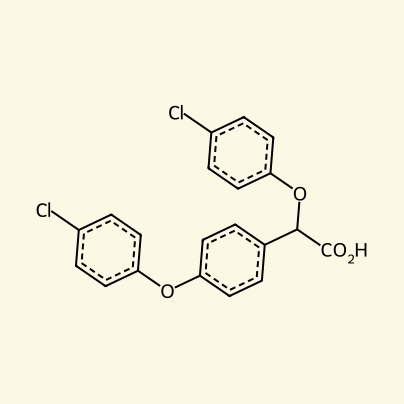 O=C(O)C(Oc1ccc(Cl)cc1)c1ccc(Oc2ccc(Cl)cc2)cc1